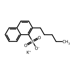 CCCCCc1ccc2ccccc2c1S(=O)(=O)[O-].[K+]